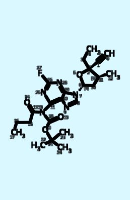 C#C[C@]1(CC)O[C@@H](n2cnc3c(N(C(=O)CCC)C(=O)OC(C)(C)C)nc(F)nc32)C[C@@H]1C